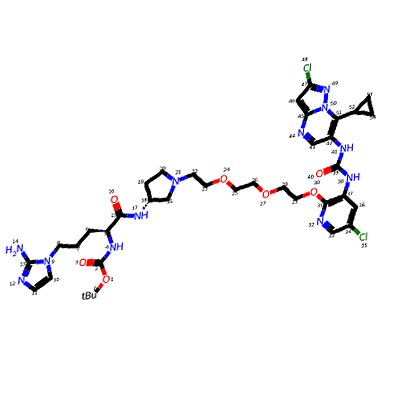 CC(C)(C)OC(=O)N[C@@H](CCCn1ccnc1N)C(=O)N[C@@H]1CCN(CCOCCOCCOc2ncc(Cl)cc2NC(=O)Nc2cnc3cc(Cl)nn3c2C2CC2)C1